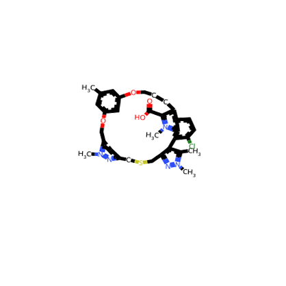 Cc1cc2cc(c1)OCc1cc(nn1C)CSCc1nn(C)c(C)c1-c1c(Cl)ccc3c(c(C(=O)O)n(C)c13)CCCO2